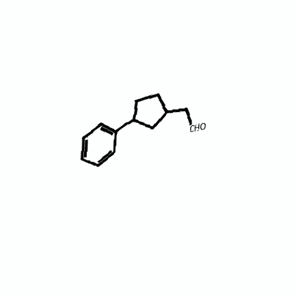 O=CCC1CCC(c2ccccc2)C1